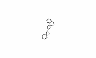 Cc1ccccc1OCCOc1cccc2ccccc12